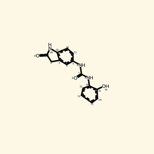 O=C1Cc2cc(NC(=O)Nc3ccccc3O)ccc2N1